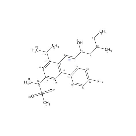 CCC(C)CC(O)/C=C/c1c(-c2ccc(F)cc2)nc(N(C)S(C)(=O)=O)nc1C(C)C